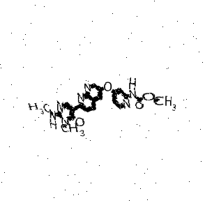 CNc1ncc(-c2ccc3cc(Oc4ccnc(NC(=O)OC)c4)cnc3n2)c(=O)n1C